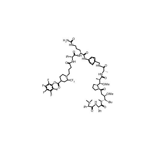 CC[C@H](C)[C@@H]([C@@H](CC(=O)N1CCC[C@H]1[C@H](OC)[C@@H](C)C(=O)N[C@@H](C)C(=O)NCc1ccc(NC(=O)[C@H](CCCNC(N)=O)NC(=O)[C@@H](NC(=O)CCCN2CCC(C(=O)Oc3c(F)c(F)c(F)c(F)c3F)CC2C(F)(F)F)C(C)C)cc1)OC)N(C)C(=O)[C@@H](NC(=O)[C@H](C(C)C)N(C)C)C(C)C